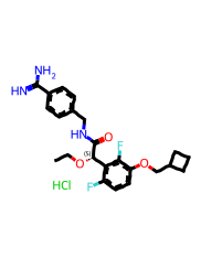 CCO[C@H](C(=O)NCc1ccc(C(=N)N)cc1)c1c(F)ccc(OCC2CCC2)c1F.Cl